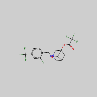 O=C(OC12CNCC(C1)C2OCc1ccc(C(F)(F)F)cc1F)C(F)(F)F